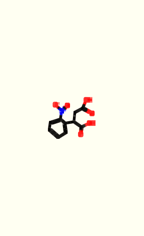 O=C(O)CC(C(=O)O)c1ccccc1[N+](=O)[O-]